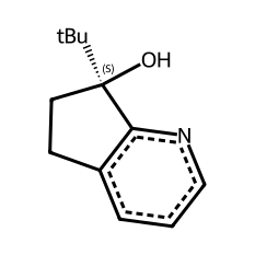 CC(C)(C)[C@@]1(O)CCc2cccnc21